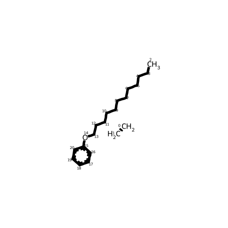 C=C.CCCCCCCCCCCCOc1ccccc1